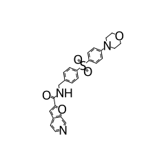 O=C(NCc1ccc(S(=O)(=O)c2ccc(N3CCOCC3)cc2)cc1)c1cc2ccncc2o1